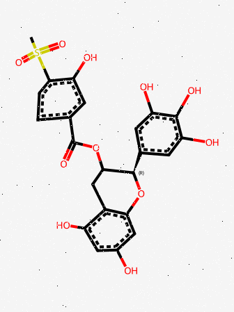 CS(=O)(=O)c1ccc(C(=O)OC2Cc3c(O)cc(O)cc3O[C@@H]2c2cc(O)c(O)c(O)c2)cc1O